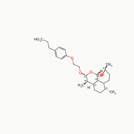 C[C@H]1[C@@H](OCCOc2ccc(CCC(=O)O)cc2)O[C@@H]2O[C@@]3(C)CCC4[C@H](C)CC[C@@H]1[C@]42OO3